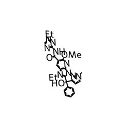 CCn1cnc(NC(=O)c2cc3c(nc2OC)nc(C(O)(c2ccccc2)c2ccn(C)n2)n3CC)n1